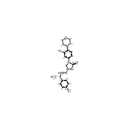 C[C@H](NC[C@H]1CN(c2ccc(N3CCOCC3)c(F)c2)C(=O)O1)c1ccc(Cl)cc1